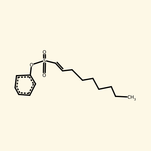 CCCCCCCC=CS(=O)(=O)Oc1ccccc1